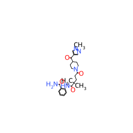 Cn1cc(C(=O)C2CCN(C(=O)CCC(C)(C)C(=O)Nc3ccccc3C(N)=O)CC2)cn1